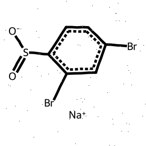 O=S([O-])c1ccc(Br)cc1Br.[Na+]